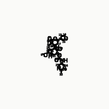 COC1=C[C@@]23CC[C@H]4C(=O)O[C@H](c5ccoc5)C[C@]4(C)[C@H]2C(=O)[C@@H](OC(=O)Nc2cnc(C)nc2)C[C@@H]13